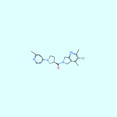 Cc1cc(N2CC[C@@H](C(=O)N3Cc4nc(C)c(Cl)c(C)c4C3)C2)ccn1